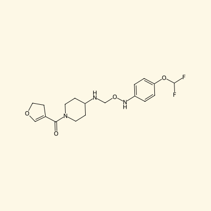 O=C(C1=COCC1)N1CCC(NCONc2ccc(OC(F)F)cc2)CC1